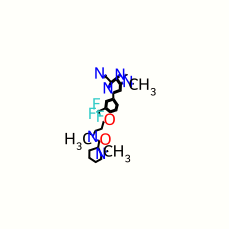 CN(CCCOc1ccc(-c2cc3c(ncn3C)c(C#N)n2)cc1C(F)(F)F)C(=O)C1CCCCN1C